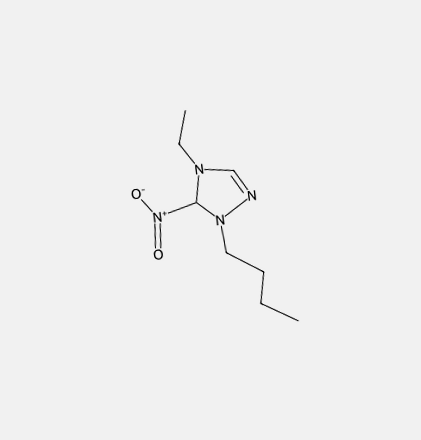 CCCCN1N=CN(CC)C1[N+](=O)[O-]